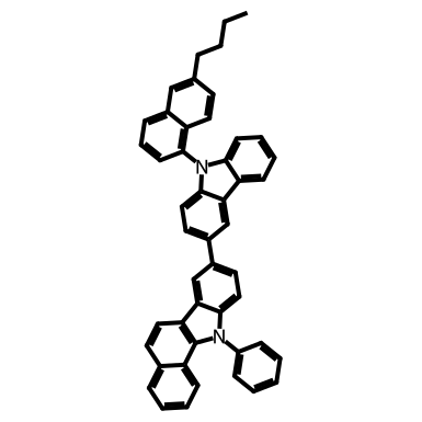 CCCCc1ccc2c(-n3c4ccccc4c4cc(-c5ccc6c(c5)c5ccc7ccccc7c5n6-c5ccccc5)ccc43)cccc2c1